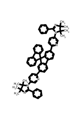 CC1(C)N=C(c2ccccc2)N(c2ccc(-c3ccc4c(c3)C3(c5ccccc5-c5ccccc53)c3cc(-c5ccc(N6C(c7ccccc7)=NC(C)(C)C6(C)C)cn5)ccc3-4)nc2)C1(C)C